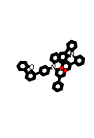 c1ccc(-c2cccc(N(c3ccc(-c4cccc5c4oc4ccccc45)cc3)c3ccccc3-c3cccc(-c4ccccc4-n4c5ccccc5c5ccccc54)c3)c2)cc1